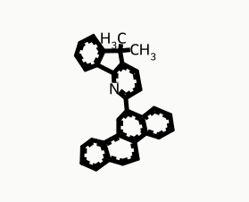 CC1(C)c2ccccc2-c2nc(-c3cc4c5ccccc5ccc4c4ccccc34)ccc21